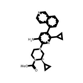 COC(=O)N1CCN(c2nc(C3CC3)c(-c3cccc4cnccc34)cc2N)C[C@H]1C1CC1